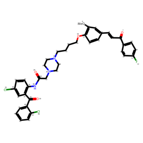 COc1cc(C=CC(=O)c2ccc(F)cc2)ccc1OCCCCN1CCN(CC(=O)Nc2ccc(Cl)cc2C(=O)c2ccccc2Cl)CC1